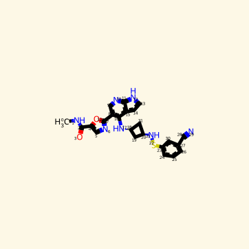 CNC(=O)c1cnc(-c2cnc3[nH]ccc3c2N[C@H]2C[C@H](NSc3cccc(C#N)c3)C2)o1